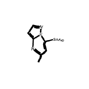 CSc1cc(C)nc2ccnn12